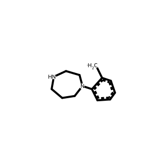 [CH2]c1ccccc1N1CCCNCC1